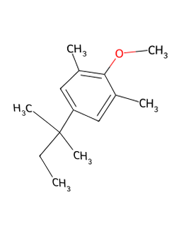 CCC(C)(C)c1cc(C)c(OC)c(C)c1